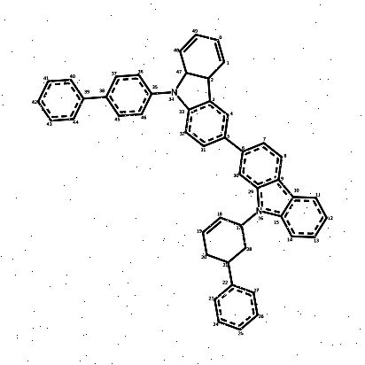 C1=CC2c3cc(-c4ccc5c6ccccc6n(C6C=CCC(c7ccccc7)C6)c5c4)ccc3N(c3ccc(-c4ccccc4)cc3)C2C=C1